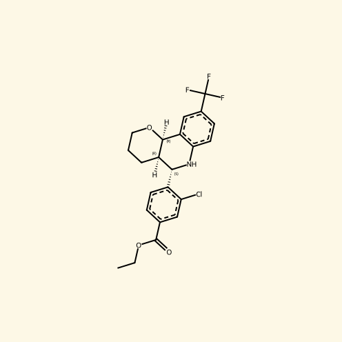 CCOC(=O)c1ccc([C@H]2Nc3ccc(C(F)(F)F)cc3[C@@H]3OCCC[C@H]23)c(Cl)c1